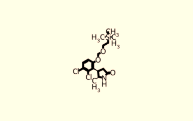 C[C@H]1NC(=O)C[C@@H]1c1c(OCOCC[Si](C)(C)C)ccc(Cl)c1Cl